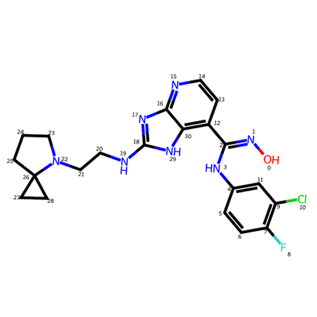 O/N=C(\Nc1ccc(F)c(Cl)c1)c1ccnc2nc(NCCN3CCCC34CC4)[nH]c12